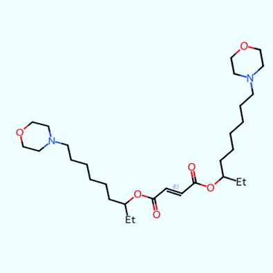 CCC(CCCCCCN1CCOCC1)OC(=O)/C=C/C(=O)OC(CC)CCCCCCN1CCOCC1